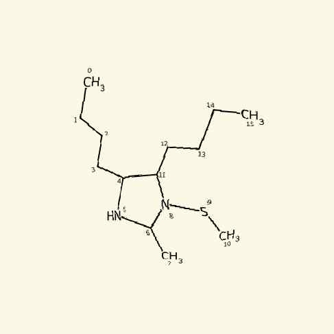 CCCCC1NC(C)N(SC)C1CCCC